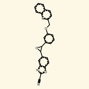 N#Cc1nc2cc(C3OC3c3cccc(OCc4ccc5ccccc5n4)c3)ccc2o1